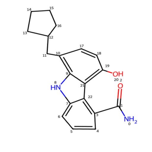 NC(=O)c1cccc2[nH]c3c(CC4CCCC4)ccc(O)c3c12